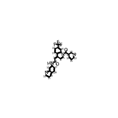 O=C(C=C1C=CN(C(=O)C2C=CC=NC2)c2cc(C(F)(F)F)ccc21)Nc1ccc2cccnc2c1